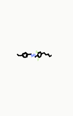 CCCCCc1cc(F)c(/C=N/N=C/c2ccc(CC)cc2)c(F)c1